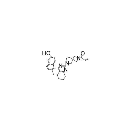 C=CC(=O)N1CC2(CCN(c3nc4c(c(-c5c(C)ccc6cc(O)ccc56)n3)CCCC4)C2)C1